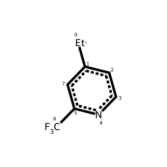 C[CH]c1ccnc(C(F)(F)F)c1